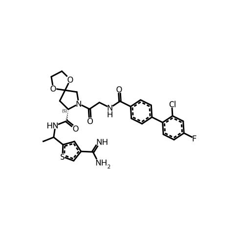 CC(NC(=O)[C@@H]1CC2(CN1C(=O)CNC(=O)c1ccc(-c3ccc(F)cc3Cl)cc1)OCCO2)c1cc(C(=N)N)cs1